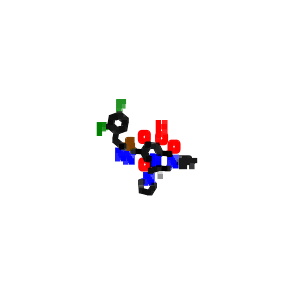 CC(C)N1C[C@@](C)(C(=O)N2CCCC2)n2cc(-c3nnc(Cc4ccc(F)cc4F)s3)c(=O)c(O)c2C1=O